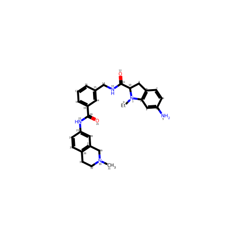 CCN1c2cc(N)ccc2CC1C(=O)NCc1cccc(C(=O)Nc2ccc3c(c2)CN(C)CC3)c1